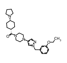 CCOc1cccc(Cn2cc(N3CCN(C(=O)[C@H]4CC[C@H](N5CCCC5)CC4)CC3)cn2)c1